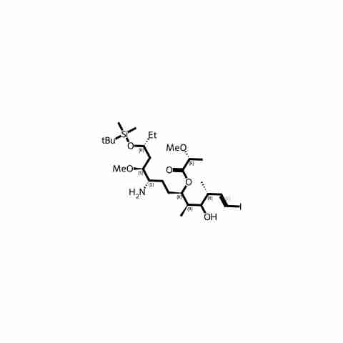 CC[C@H](C[C@H](OC)[C@@H](N)CC[C@@H](OC(=O)[C@@H](C)OC)[C@H](C)C(O)[C@H](C)/C=C/I)O[Si](C)(C)C(C)(C)C